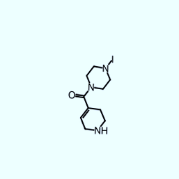 O=C(C1=CCNCC1)N1CCN(I)CC1